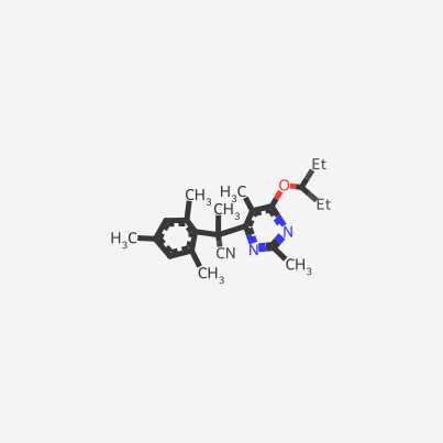 CCC(CC)Oc1nc(C)nc(C(C)(C#N)c2c(C)cc(C)cc2C)c1C